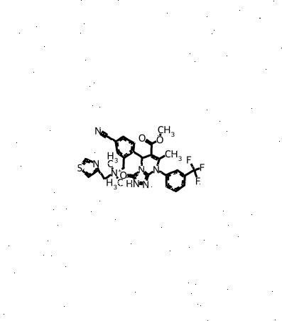 COC(=O)C1=C(C)N(c2cccc(C(F)(F)F)c2)c2n[nH]c(=O)n2C1c1ccc(C#N)cc1C[N+](C)(C)Cc1cscn1